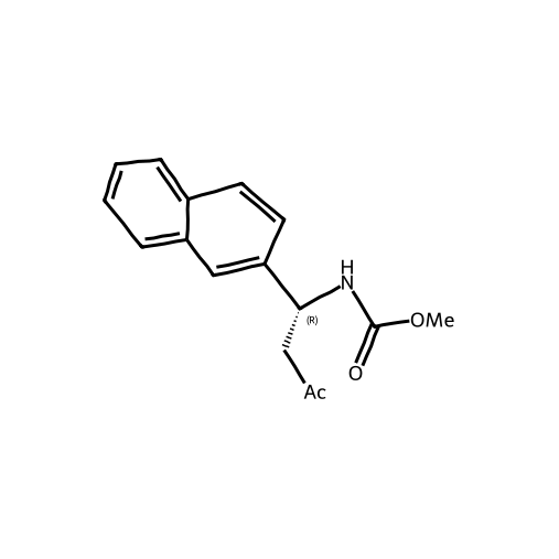 COC(=O)N[C@H](CC(C)=O)c1ccc2ccccc2c1